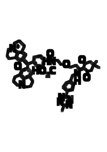 Cc1nnc(-c2ccc(CNC(CCOCCNC(=O)c3ccc(C4=c5cc6c7c(c5Oc5c4cc4c8c5CCCN8CCC4)CCC[N+]=7CCC6)c(C(=O)O)c3)=C3C(=O)CC(C)(C)CC3=O)cc2)nn1